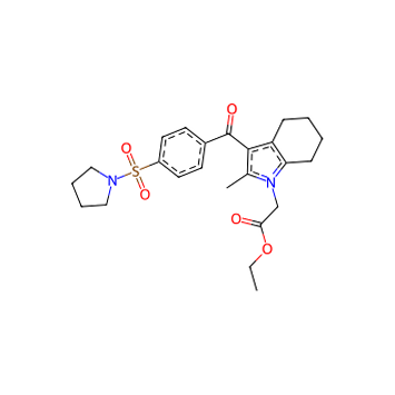 CCOC(=O)Cn1c(C)c(C(=O)c2ccc(S(=O)(=O)N3CCCC3)cc2)c2c1CCCC2